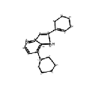 C1=C(c2cc3nccc(N4CCCCC4)c3[nH]2)CCCC1